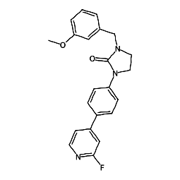 COc1cccc(CN2CCN(c3ccc(-c4ccnc(F)c4)cc3)C2=O)c1